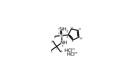 CC(C)(C)[NH][Ti]([CH3])(=[SiH2])[C]1=CC=CC1.Cl.Cl